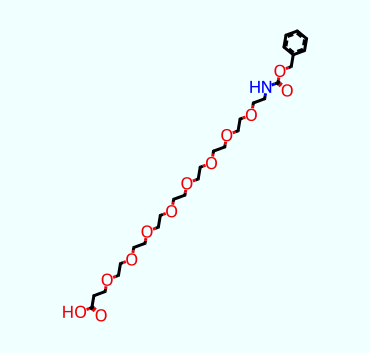 O=C(O)CCOCCOCCOCCOCCOCCOCCOCCOCCNC(=O)OCc1ccccc1